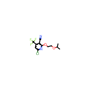 CC(C)OCCOc1nc(Cl)cc(C(F)(F)F)c1C#N